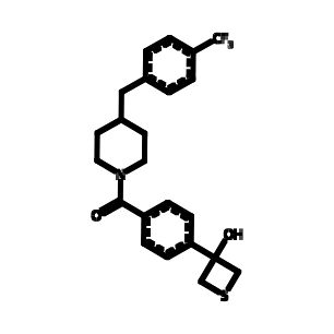 O=C(c1ccc(C2(O)CSC2)cc1)N1CCC(Cc2ccc(C(F)(F)F)cc2)CC1